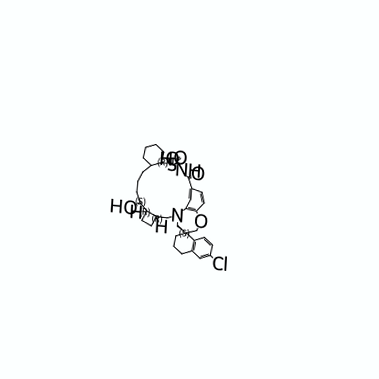 O=C1NS(=O)(=O)[C@@H]2CCCCC2CCC[C@H](O)[C@@H]2CC[C@H]2CN2C[C@@]3(CCCc4cc(Cl)ccc43)COc3ccc1cc32